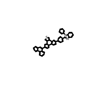 C1=CC2=NC(c3ccc(-c4ccc5c6ccc(-c7cc8ccccc8c8ccccc78)cc6c6cscc6c5c4)cc3)N(c3ccccc3)C2C=C1